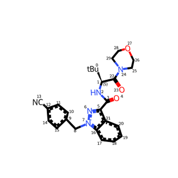 CC(C)(C)[C@H](NC(=O)c1nn(Cc2ccc(C#N)cc2)c2ccccc12)C(=O)N1CCOCC1